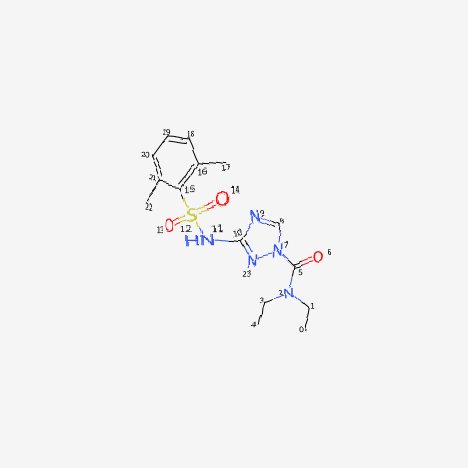 CCN(CC)C(=O)n1cnc(NS(=O)(=O)c2c(C)cccc2C)n1